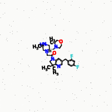 CC1COCCN1C[C@H]1CN[C@H](C)CN1CC(=O)N1CC(C)(C)c2ncc(Cc3ccc(F)cc3F)cc21